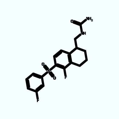 NC(=O)NCC1CCCc2c1ccc(S(=O)(=O)c1cccc(F)c1)c2F